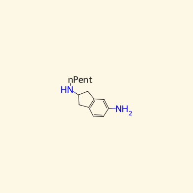 CCCCCNC1Cc2ccc(N)cc2C1